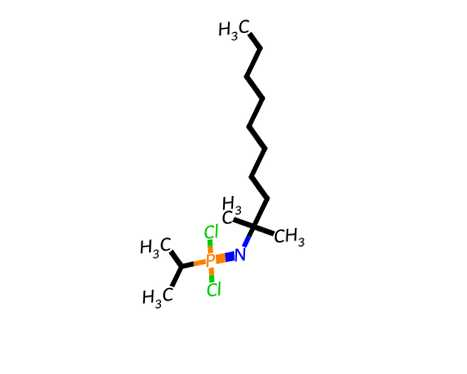 CCCCCCCCC(C)(C)N=P(Cl)(Cl)C(C)C